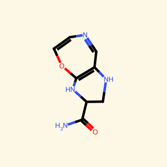 NC(=O)C1CNC2=C(N1)OC=CN=C2